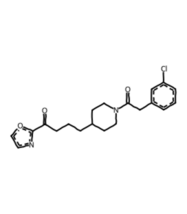 O=C(CCCC1CCN(C(=O)Cc2cccc(Cl)c2)CC1)c1ncco1